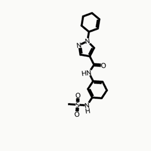 CS(=O)(=O)NC1=CC(NC(=O)c2cnn(C3C=CCCC3)c2)=CCC1